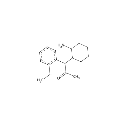 C[CH]c1ccccc1C(C(C)=O)C1CCCCC1N